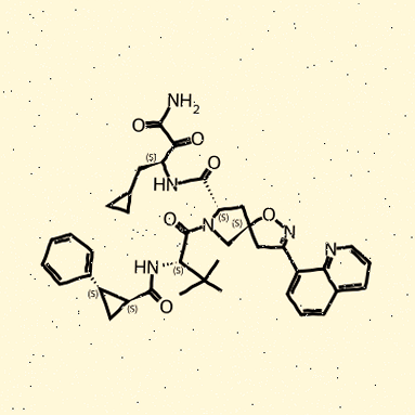 CC(C)(C)[C@H](NC(=O)[C@H]1C[C@@H]1c1ccccc1)C(=O)N1C[C@@]2(CC(c3cccc4cccnc34)=NO2)C[C@H]1C(=O)N[C@@H](CC1CC1)C(=O)C(N)=O